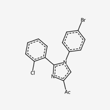 CC(=O)c1cn(-c2ccc(Br)cc2)c(-c2ccccc2Cl)n1